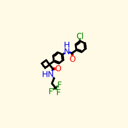 O=C(Nc1ccc(C2(C(=O)NCCC(F)(F)F)CCC2)cc1)c1cccc(Cl)c1